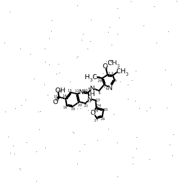 COc1c(C)cnc(CNC2=Nc3cc(C(=O)O)ccc3CN2Cc2ccco2)c1C